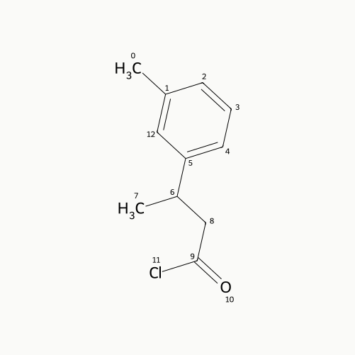 Cc1cccc(C(C)CC(=O)Cl)c1